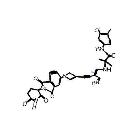 Cc1ccc(NC(=O)C(C)(C)N/C=C(/C#CC2CN(c3ccc4c(c3)C(=O)N(C3CCC(=O)NC3=O)C4=O)C2)C=N)cc1Cl